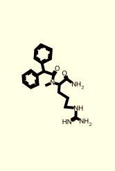 CN(C(=O)C(c1ccccc1)c1ccccc1)C(CCCNC(=N)N)C(N)=O